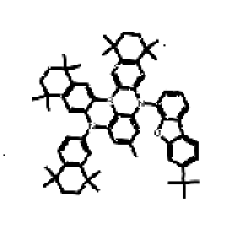 Cc1cc2c3c(c1)N(c1cccc4c1oc1cc(C(C)(C)C)ccc14)c1cc4c(cc1B3c1cc3c(cc1N2c1ccc2c(c1)C(C)(C)CCC2(C)C)C(C)(C)CCC3(C)C)C(C)(C)CCC4(C)C